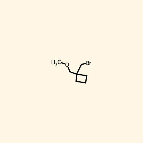 COCC1(CBr)CCC1